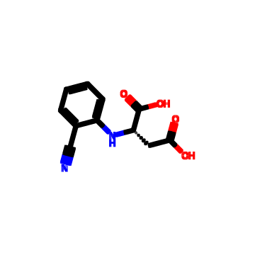 N#Cc1ccccc1N[C@@H](CC(=O)O)C(=O)O